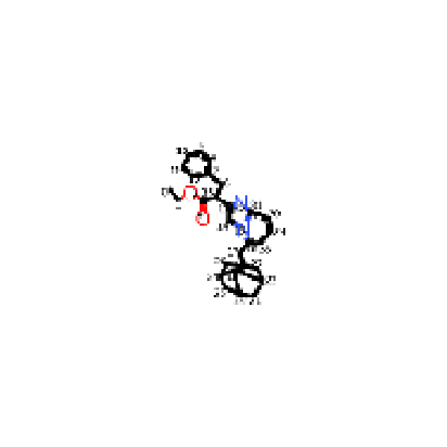 CCOC(=O)C(Cc1ccccc1)c1cn2c(CC34CC5CC(CC(C5)C3)C4)cccc2n1